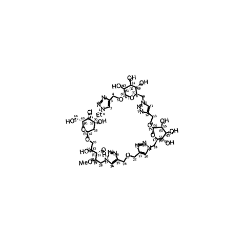 CCn1cc(CO[C@H]2O[C@H](Cn3cc(CO[C@H]4O[C@H](Cn5cc(COCc6cn(C[C@@H](OC)[C@@H](O)[C@H](O)CO[C@@H]7C[C@@H](O)[C@@H](Cl)[C@@H](CO)O7)nn6)nn5)[C@@H](O)[C@H](O)[C@@H]4O)nn3)[C@@H](O)[C@H](O)[C@@H]2O)nn1